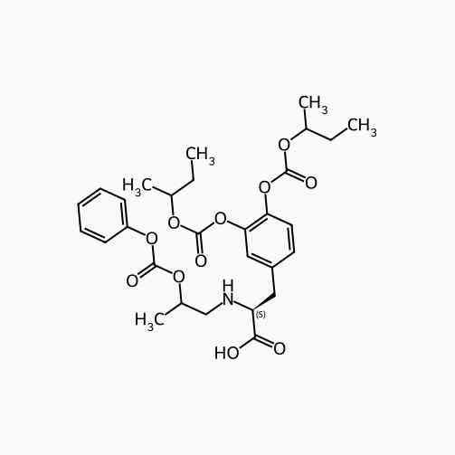 CCC(C)OC(=O)Oc1ccc(C[C@H](NCC(C)OC(=O)Oc2ccccc2)C(=O)O)cc1OC(=O)OC(C)CC